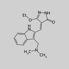 CCOC1=NNC(=O)C1=Cc1[nH]c2ccccc2c1CN(C)C